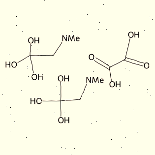 CNCC(O)(O)O.CNCC(O)(O)O.O=C(O)C(=O)O